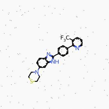 FC(F)(F)c1cccnc1-c1ccc(-c2nc3ccc(N4CCSCC4)cc3[nH]2)cc1